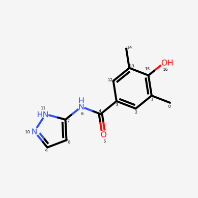 Cc1cc(C(=O)Nc2ccn[nH]2)cc(C)c1O